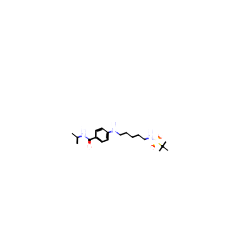 CC(C)NC(=O)c1ccc(NCCCCCNS(=O)(=O)C(C)(C)C)cc1